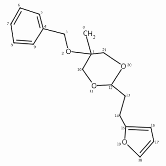 CC1(OCc2ccccc2)COC(CCc2ccco2)OC1